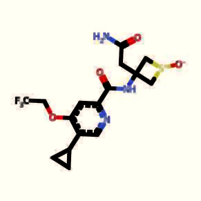 NC(=O)CC1(NC(=O)c2cc(OCC(F)(F)F)c(C3CC3)cn2)C[S+]([O-])C1